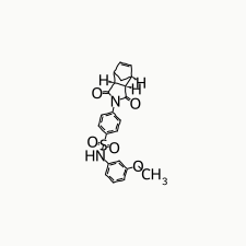 COc1cccc(NS(=O)(=O)c2ccc(N3C(=O)[C@@H]4[C@H](C3=O)C3C=C[C@H]4C3)cc2)c1